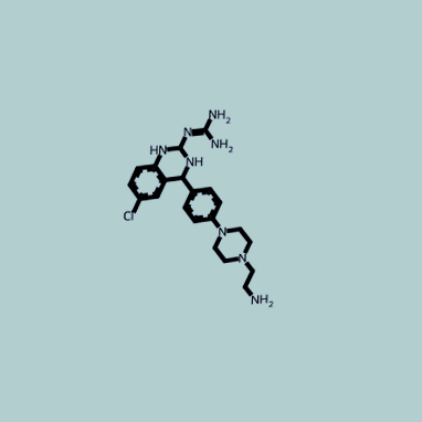 NCCN1CCN(c2ccc(C3NC(N=C(N)N)Nc4ccc(Cl)cc43)cc2)CC1